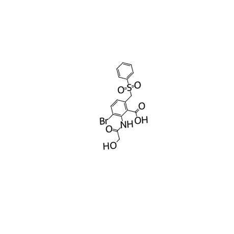 O=C(CO)Nc1c(Br)ccc(CS(=O)(=O)c2ccccc2)c1C(=O)O